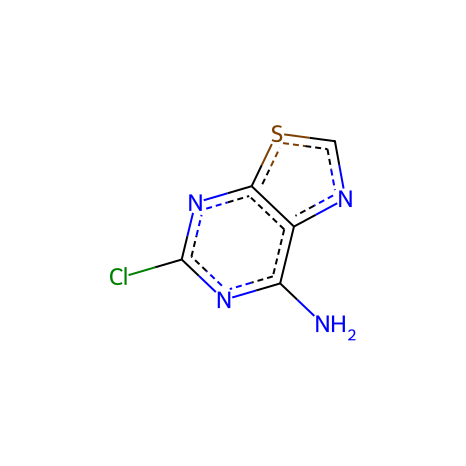 Nc1nc(Cl)nc2scnc12